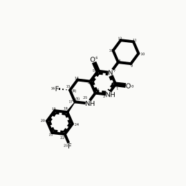 O=c1[nH]c2c(c(=O)n1C1CCCCC1)C[C@@H](F)[C@H](c1cccc(F)c1)N2